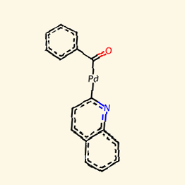 O=[C]([Pd][c]1ccc2ccccc2n1)c1ccccc1